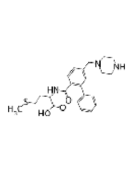 CSCCC(NC(=O)c1ccc(CN2CCNCC2)cc1-c1ccccc1)C(=O)O